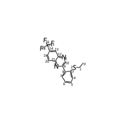 CCSc1ccccc1-c1cnc2cc(C(F)(F)F)ccc2n1